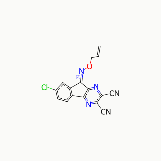 C=CCO/N=C1/c2cc(Cl)ccc2-c2nc(C#N)c(C#N)nc21